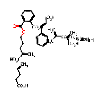 C=C(C)C(=O)O.C=C(CCCOC(=O)c1ccccc1C(=O)O)C(=O)O.C=CC(=O)O.C=CCCC(=O)O.O=S(=O)(O)C=Cc1ccccc1.[NaH].[NaH].[NaH].[NaH]